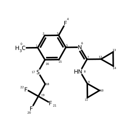 Cc1cc(F)c(/N=C(\NC2CC2)C2CC2)cc1SCC(F)(F)F